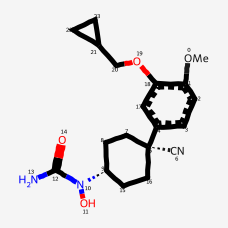 COc1ccc([C@]2(C#N)CC[C@@H](N(O)C(N)=O)CC2)cc1OCC1CC1